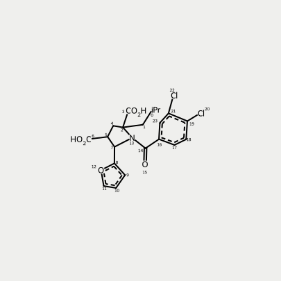 CC(C)CC1(C(=O)O)CC(C(=O)O)C(c2ccco2)N1C(=O)c1ccc(Cl)c(Cl)c1